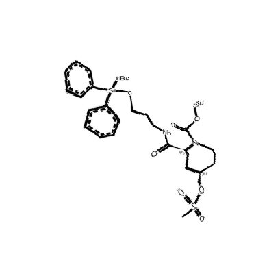 CC(C)(C)OC(=O)N1CC[C@@H](OS(C)(=O)=O)C[C@H]1C(=O)NCCCO[Si](c1ccccc1)(c1ccccc1)C(C)(C)C